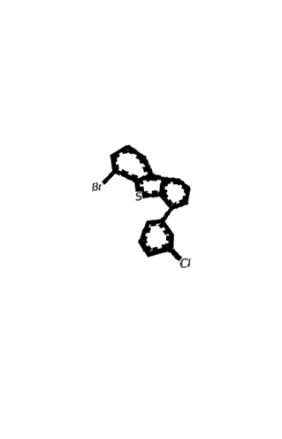 Clc1cccc(-c2cccc3c2sc2c(Br)cccc23)c1